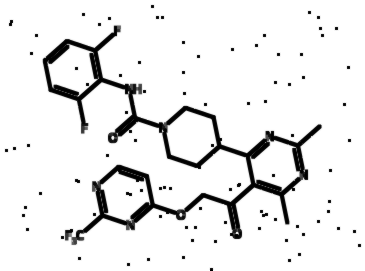 Cc1nc(C)c(C(=O)COc2ccnc(C(F)(F)F)n2)c(C2CCN(C(=O)Nc3c(F)cccc3F)CC2)n1